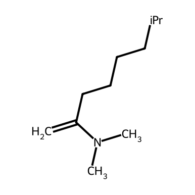 C=C(CCCCC(C)C)N(C)C